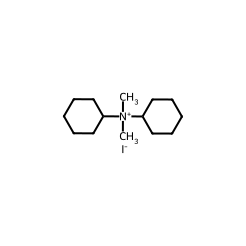 C[N+](C)(C1CCCCC1)C1CCCCC1.[I-]